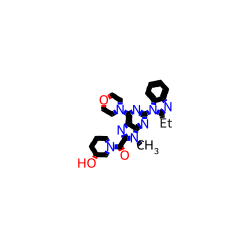 CCc1nc2ccccc2n1-c1nc(N2CCOCC2)c2nc(C(=O)N3CCCC(O)C3)n(C)c2n1